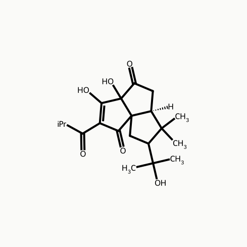 CC(C)C(=O)C1=C(O)C2(O)C(=O)C[C@H]3C(C)(C)C(C(C)(C)O)CC32C1=O